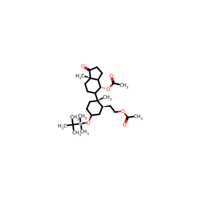 CC(=O)OCC[C@H]1CC(O[Si](C)(C)C(C)(C)C)CC[C@]1(C)C1CC[C@]2(C)C(=O)CCC2[C@@H]1OC(C)=O